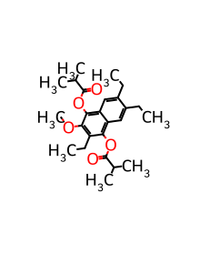 CCc1cc2c(OC(=O)C(C)C)c(CC)c(OC)c(OC(=O)C(C)C)c2cc1CC